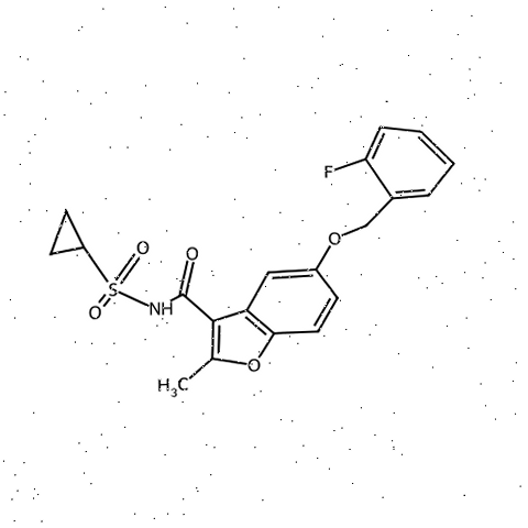 Cc1oc2ccc(OCc3ccccc3F)cc2c1C(=O)NS(=O)(=O)C1CC1